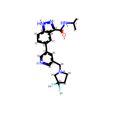 CC(C)NC(=O)c1n[nH]c2ccc(-c3cncc(CN4CCC(F)(F)C4)c3)cc12